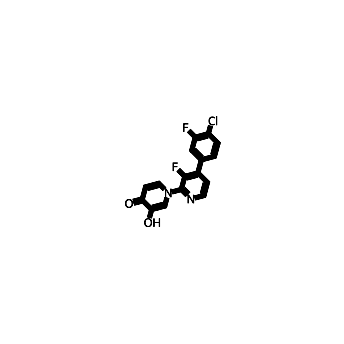 O=c1ccn(-c2nccc(-c3ccc(Cl)c(F)c3)c2F)cc1O